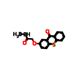 BBC(=O)COc1ccc2sc3ccccc3c(=O)c2c1